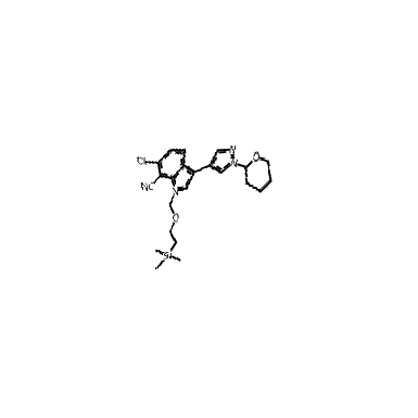 C[Si](C)(C)CCOCn1cc(-c2cnn(C3CCCCO3)c2)c2ccc(Cl)c(C#N)c21